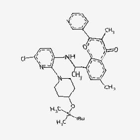 Cc1cc(C(C)Nc2ccc(Cl)nc2N2CCC(O[Si](C)(C)C(C)(C)C)CC2)c2oc(-c3cccnc3)c(C)c(=O)c2c1